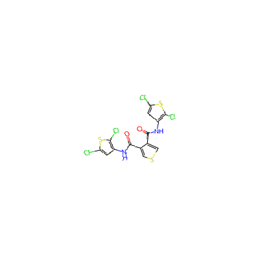 O=C(Nc1cc(Cl)sc1Cl)c1cscc1C(=O)Nc1cc(Cl)sc1Cl